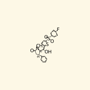 CN1C(=O)C[C@H](c2ccccc2)[C@@H]1C(O)c1ccc(S(=O)(=O)c2ccc(F)cc2)s1